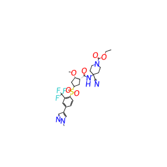 CCOC(=O)N1CCC(C#N)(NC(=O)[C@@H]2C[C@@H](S(=O)(=O)c3ccc(-c4cnn(C)c4)cc3C(F)(F)F)C[C@@H]2OC)CC1